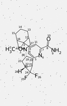 COC1(c2ccnc(C(N)=O)c2)C2CCCC1CN([C@@H]1CC3[C@@H](C1)C3(F)F)C2